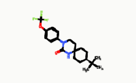 CC(C)(C)[C@H]1CC[C@@]2(CCN(c3ccc(OC(F)(F)F)cc3)C(=O)N2)CC1